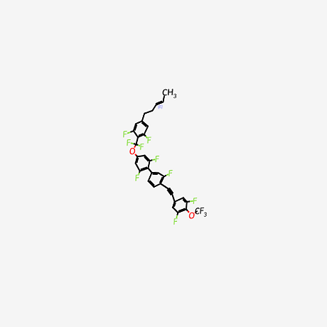 C/C=C/CCc1cc(F)c(C(F)(F)Oc2cc(F)c(-c3ccc(C#Cc4cc(F)c(OC(F)(F)F)c(F)c4)c(F)c3)c(F)c2)c(F)c1